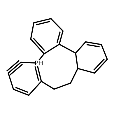 C1#C[PH]2=C(C=C1)CCC1C=CC=CC1c1ccccc12